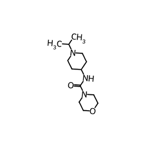 CC(C)N1CCC(NC(=O)N2CCOCC2)CC1